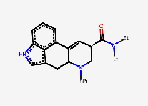 CCCN1C[C@H](C(=O)N(CC)CC)C=C2c3cccc4[nH]cc(c34)CC21